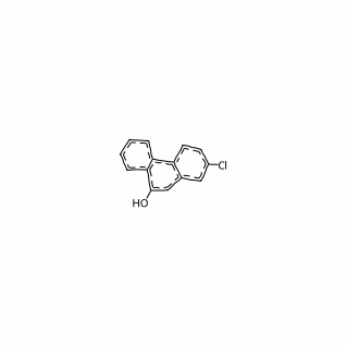 Oc1cc2cc(Cl)ccc2c2ccccc12